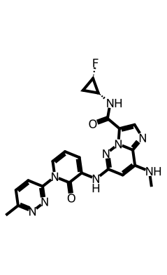 CNc1cc(Nc2cccn(-c3ccc(C)nn3)c2=O)nn2c(C(=O)N[C@@H]3C[C@@H]3F)cnc12